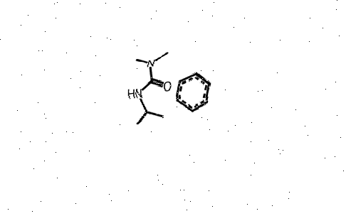 CC(C)NC(=O)N(C)C.c1ccccc1